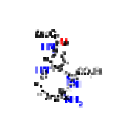 CCOC(=O)c1[nH]c2nc1-c1ccc(NC(=O)OC)cc1NCCCCC[C@@H]2N